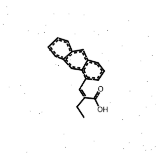 CCC(=Cc1cccc2cc3ccccc3cc12)C(=O)O